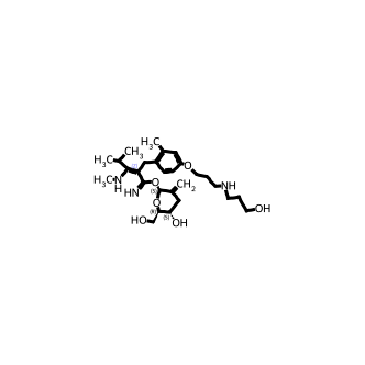 C=C1C[C@H](O)[C@@H](CO)O[C@H]1OC(=N)/C(Cc1ccc(OCCCNCCCO)cc1C)=C(\NC)C(C)C